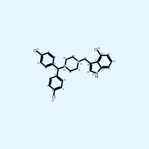 Clc1ccc(C(c2ccc(Cl)cc2)N2CCN(Cc3c[nH]c4cccc(Cl)c34)CC2)cc1